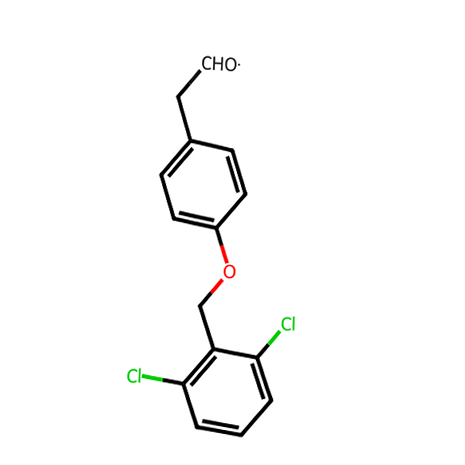 O=[C]Cc1ccc(OCc2c(Cl)cccc2Cl)cc1